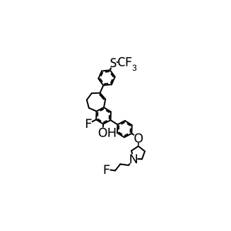 Oc1c(-c2ccc(O[C@H]3CCN(CCCF)C3)cc2)cc2c(c1F)CCCC(c1ccc(SC(F)(F)F)cc1)=C2